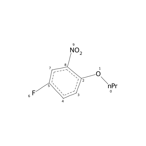 CCCOc1ccc(F)cc1[N+](=O)[O-]